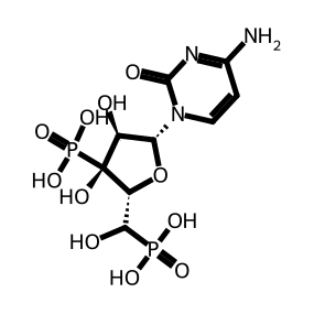 Nc1ccn([C@@H]2O[C@H](C(O)P(=O)(O)O)[C@](O)(P(=O)(O)O)[C@H]2O)c(=O)n1